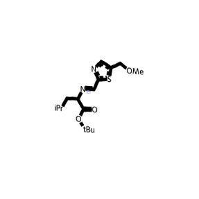 COCc1cnc(/C=N/C(CC(C)C)C(=O)OC(C)(C)C)s1